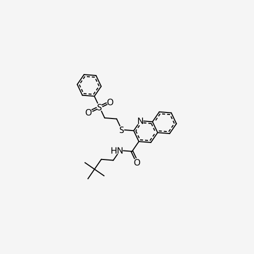 CC(C)(C)CCNC(=O)c1cc2ccccc2nc1SCCS(=O)(=O)c1ccccc1